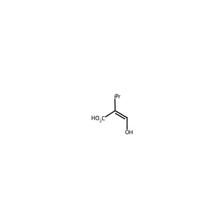 CC(C)C(=CO)C(=O)O